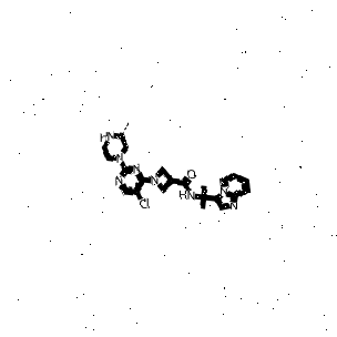 C[C@@H]1CN(c2ncc(Cl)c(N3CC(C(=O)NC(C)(C)c4cnc5ccccn45)C3)n2)CCN1